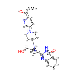 CNC(=O)c1ccc(N2CCC(N3CC4(c5nc6ccccc6c(=O)[nH]5)CC3(CO)C4)CC2)cn1